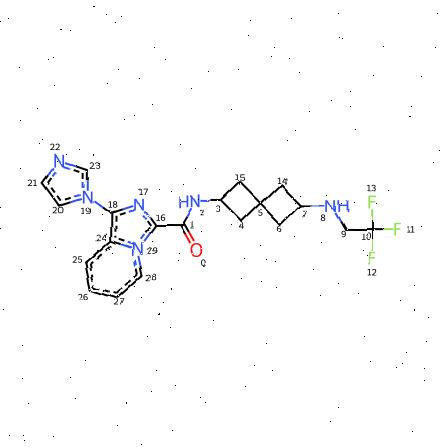 O=C(NC1CC2(CC(NCC(F)(F)F)C2)C1)c1nc(-n2ccnc2)c2ccccn12